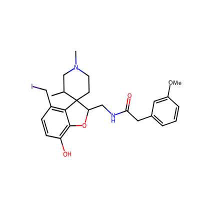 COc1cccc(CC(=O)NCC2Oc3c(O)ccc(CI)c3C23CCN(C)CC3C)c1